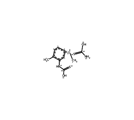 CC.Cc1ccccc1NC(O)=S.NC(O)=S